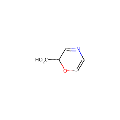 O=C(O)C1C=NC=CO1